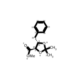 COC(=O)[C@@H]1OC(C)(C)O[C@H]1Cc1ccccc1